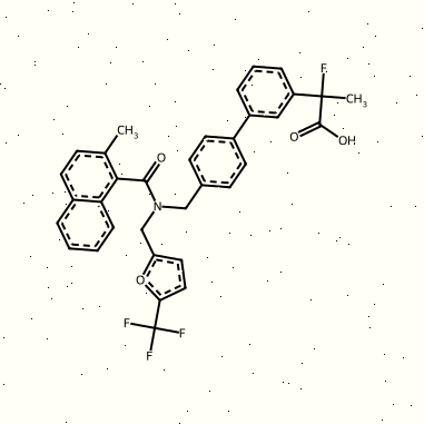 Cc1ccc2ccccc2c1C(=O)N(Cc1ccc(-c2cccc(C(C)(F)C(=O)O)c2)cc1)Cc1ccc(C(F)(F)F)o1